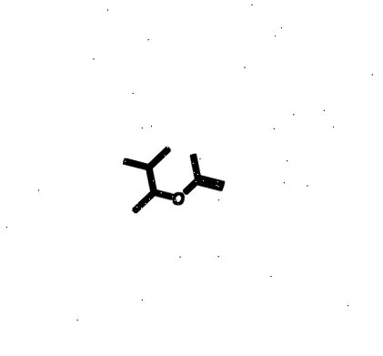 C=C(C)OC(C)C(C)C